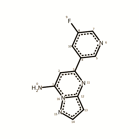 Nc1cc(-c2cncc(F)c2)nc2ccnn12